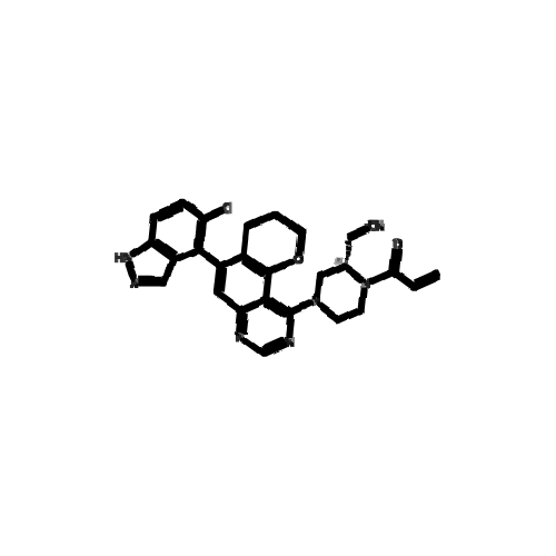 C=CC(=O)N1CCN(c2ncnc3cc(-c4c(Cl)ccc5[nH]ncc45)c4c(c23)OCCC4)C[C@@H]1CC#N